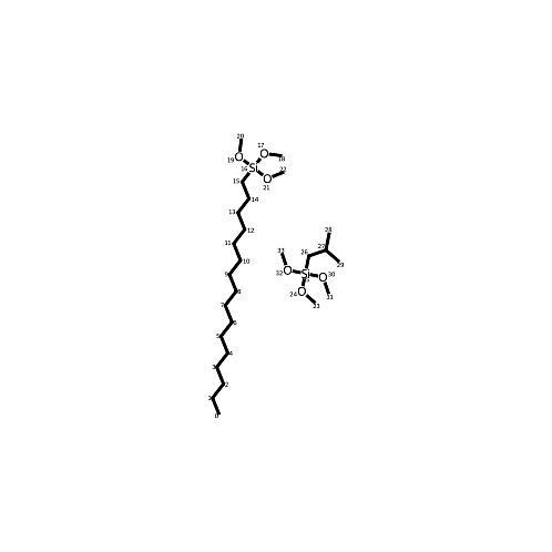 CCCCCCCCCCCCCCCC[Si](OC)(OC)OC.CO[Si](CC(C)C)(OC)OC